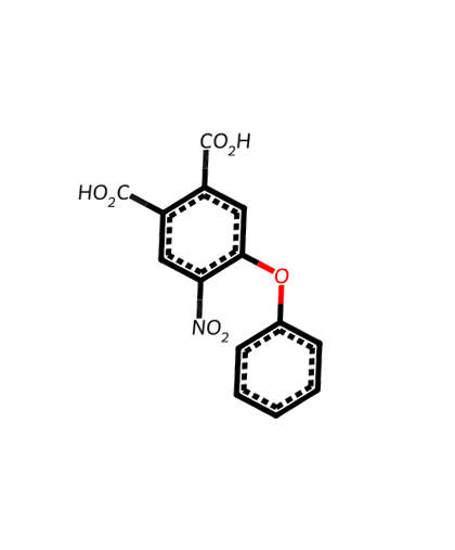 O=C(O)c1cc(Oc2ccccc2)c([N+](=O)[O-])cc1C(=O)O